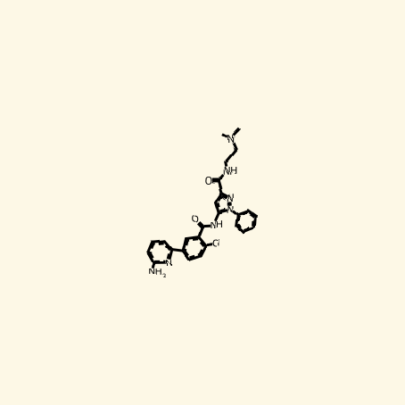 CN(C)CCNC(=O)c1cc(NC(=O)c2cc(-c3cccc(N)n3)ccc2Cl)n(-c2ccccc2)n1